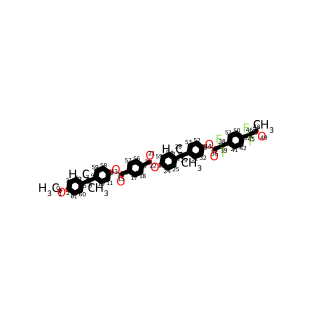 COc1ccc(C(C)(C)c2ccc(OC(=O)c3ccc(C(=O)Oc4ccc(C(C)(C)c5ccc(OC(=O)C(F)(F)c6ccc(C(F)(F)C(C)=O)cc6)cc5)cc4)cc3)cc2)cc1